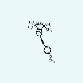 COc1ccc(C#CC2CC3OC2C(C(C)(C)C)=C3C(C)(C)C)cc1